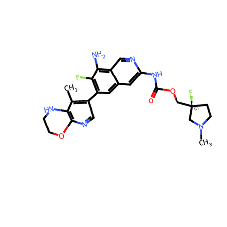 Cc1c(-c2cc3cc(NC(=O)OC[C@]4(F)CCN(C)C4)ncc3c(N)c2F)cnc2c1NCCO2